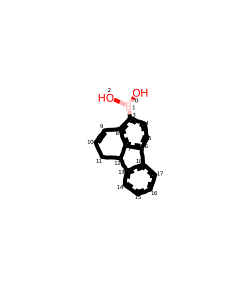 OB(O)c1ccc2c3c1C=CCC3c1ccccc1-2